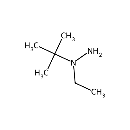 CCN(N)C(C)(C)C